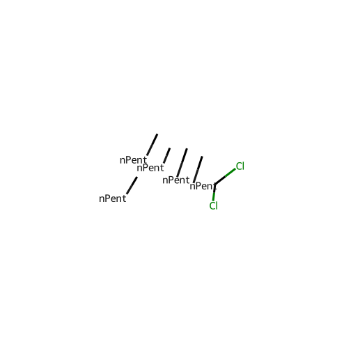 CCCCCC.CCCCCC.CCCCCC.CCCCCC.CCCCCC.ClCCl